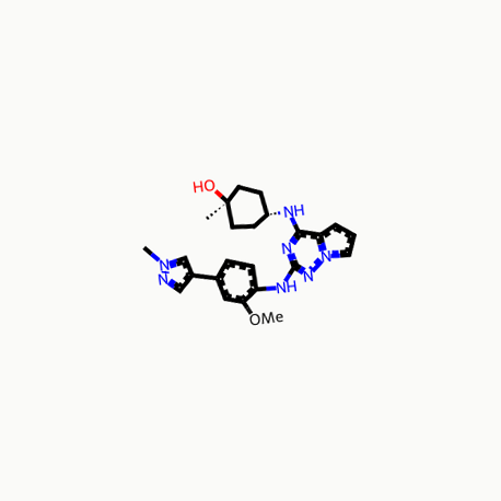 COc1cc(-c2cnn(C)c2)ccc1Nc1nc(N[C@H]2CC[C@](C)(O)CC2)c2cccn2n1